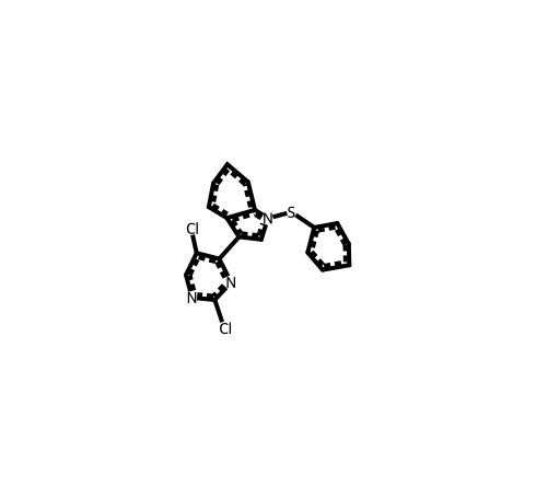 Clc1ncc(Cl)c(-c2cn(Sc3ccccc3)c3ccccc23)n1